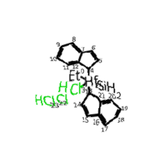 C[CH2][Hf](=[SiH2])([Cl])([CH]1C=Cc2ccccc21)[CH]1C=Cc2ccccc21.Cl.Cl